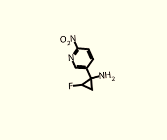 NC1(c2ccc([N+](=O)[O-])nc2)CC1F